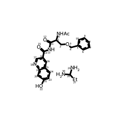 CC(=O)NC(COCc1ccccc1)C(=O)NC(=O)c1cnc2cc(O)ccc2c1.CCC(N)N